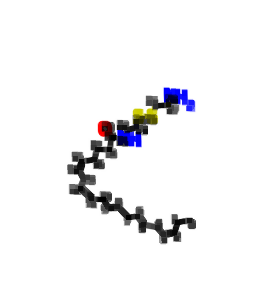 CC/C=C\CC=CCC=CC/C=C\C/C=C\CCCC(=O)NCCSSCCN